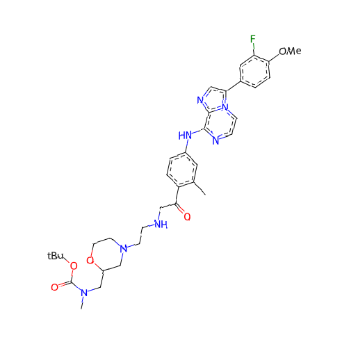 COc1ccc(-c2cnc3c(Nc4ccc(C(=O)CNCCN5CCOC(CN(C)C(=O)OC(C)(C)C)C5)c(C)c4)nccn23)cc1F